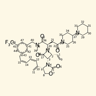 C=C[C@@H]1[C@H](N2C(=O)OC[C@@H]2C(=C)/C=C\C=C/C)C(=O)N1[C@H](CC(=O)N1CCC(N2CCCCC2)CC1)C(=O)N(C)Cc1cccc(C(F)(F)F)c1